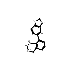 c1cc2c(c(-c3ccc4c(c3)OCO4)c1)OSNC2